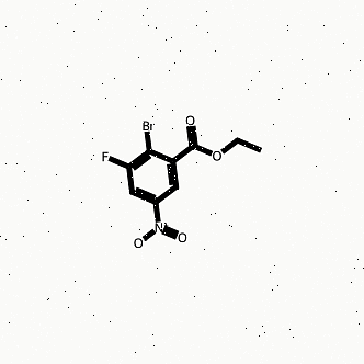 CCOC(=O)c1cc([N+](=O)[O-])cc(F)c1Br